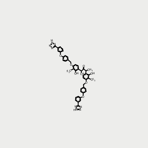 CC(C(=O)C(C)c1ccc(OCc2ccc(Oc3cccc(-c4nn[nH]n4)c3)cc2)c(C(F)(F)F)c1O)c1ccc(OCc2ccc(Oc3cccc(-c4nn[nH]n4)c3)cc2)c(C(F)(F)F)c1O